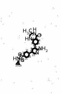 C[C@H]1CNc2cc(-c3cc(-c4ccc(S(=O)(=O)NC5CC5)cc4)cnc3N)ccc2C(=O)N1